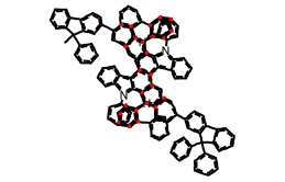 CC1(c2ccccc2)c2ccccc2-c2ccc(-c3ccc(N(c4cccc5c6ccccc6n(-c6ccccc6)c45)C4C=CC=CC4c4ccccc4-c4ccc(-c5ccc(N(c6ccc(-c7ccc8c(c7)C(c7ccccc7)(c7ccccc7)c7ccccc7-8)cc6)c6ccccc6-c6ccccc6-c6ccccc6-c6ccccc6)c6c5c5ccccc5n6-c5ccccc5)cc4-c4ccccc4)cc3)cc21